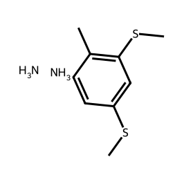 CSc1ccc(C)c(SC)c1.N.N